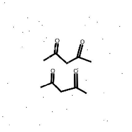 CC(=O)CC(C)=O.CC(=O)CC(C)=O